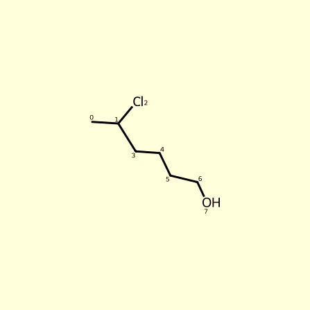 CC(Cl)CCCCO